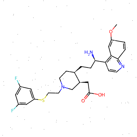 COc1ccc2nccc([C@H](N)CC[C@@H]3CCN(CCSc4cc(F)cc(F)c4)C[C@@H]3CC(=O)O)c2c1